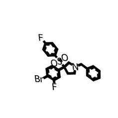 O=S(=O)(c1ccc(F)cc1)C1(c2ccc(Br)c(F)c2)CCN(Cc2ccccc2)C1